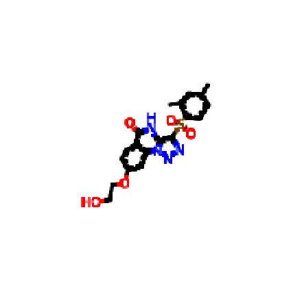 Cc1ccc(S(=O)(=O)c2nnn3c2[nH]c(=O)c2ccc(OCCO)cc23)c(C)c1